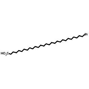 CC(C)CCCCCCCCCCCCCCCCCCCCCCCCCCCC(=O)O